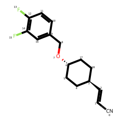 N#CC=C[C@H]1CC[C@H](OCc2ccc(F)c(F)c2)CC1